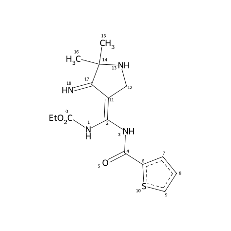 CCOC(=O)N/C(NC(=O)c1cccs1)=C1/CNC(C)(C)C1=N